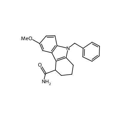 COc1ccc2c(c1)c1c(n2Cc2ccccc2)CCCC1C(N)=O